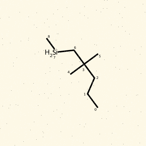 CCCC(C)(C)C[SiH2]C